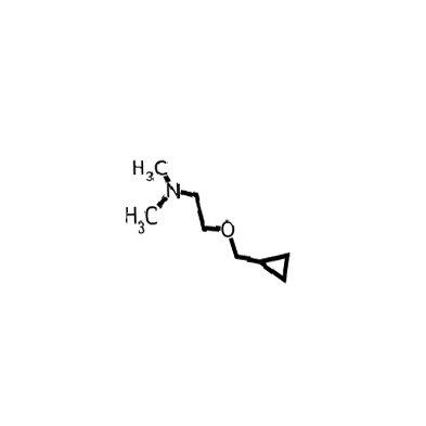 CN(C)CCOCC1CC1